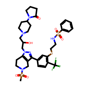 CS(=O)(=O)N1CCc2c(c(-c3ccc(C(F)(F)F)c(SCCNS(=O)(=O)c4ccccc4)c3)nn2CC(O)CN2CCC(N3CCCC3=O)CC2)C1